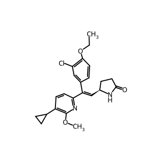 CCOc1ccc(/C(=C\[C@H]2CCC(=O)N2)c2ccc(C3CC3)c(OC)n2)cc1Cl